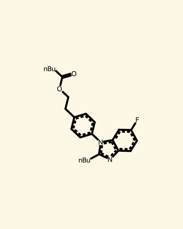 CCCCC(=O)OCCc1ccc(-n2c(CCCC)nc3ccc(F)cc32)cc1